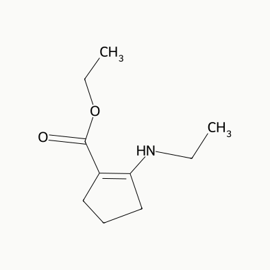 CCNC1=C(C(=O)OCC)CCC1